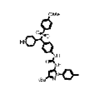 COc1ccc(S(=O)(=O)C(c2ccc(NC(=O)Nc3cc(C(C)(C)C)nn3-c3ccc(C)cc3)cc2)C2CCNCC2)cc1